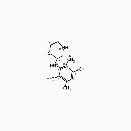 Cc1cc(C)c(C)c(NC2CNCCS2)c1C